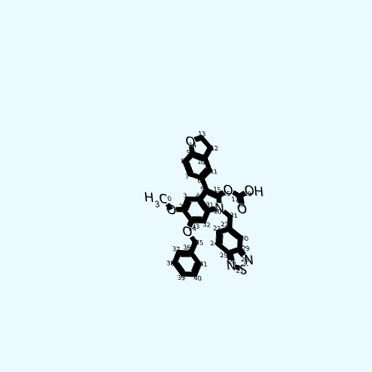 COc1cc2c(-c3ccc4c(c3)CCO4)c(OC(=O)O)n(Cc3ccc4nsnc4c3)c2cc1OCc1ccccc1